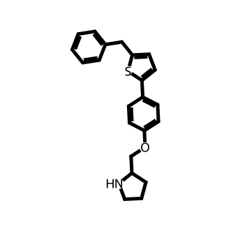 c1ccc(Cc2ccc(-c3ccc(OCC4CCCN4)cc3)s2)cc1